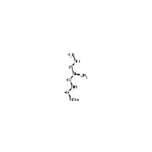 BNBN(C)BNBNC